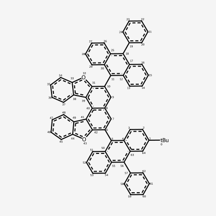 CC(C)(C)c1ccc2c(-c3cc4cc(-c5c6ccccc6c(-c6ccccc6)c6ccccc56)c5oc6ccccc6c5c4c4c3oc3ccccc34)c3ccccc3c(-c3ccccc3)c2c1